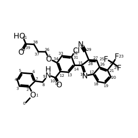 COc1ccccc1CNC(=O)c1cc(-c2nc3cccc(C(F)(F)F)c3cc2C#N)c(Cl)cc1OCCCC(=O)O